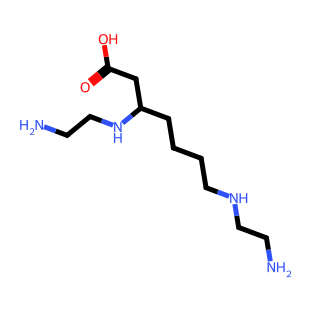 NCCNCCCCC(CC(=O)O)NCCN